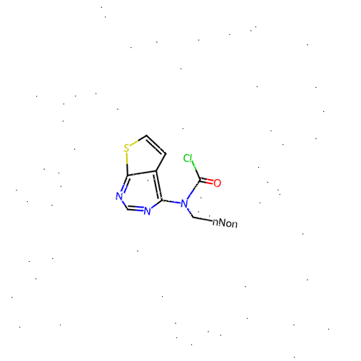 CCCCCCCCCCN(C(=O)Cl)c1ncnc2sccc12